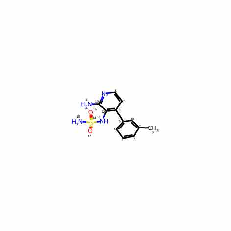 Cc1cccc(-c2ccnc(N)c2NS(N)(=O)=O)c1